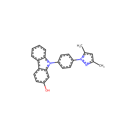 Cc1cc(C)n(-c2ccc(-n3c4ccccc4c4ccc(O)cc43)cc2)n1